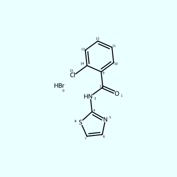 Br.O=C(Nc1nccs1)c1ccccc1Cl